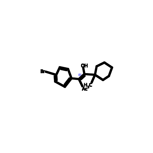 CC(=O)/C(=C(/O)C1(C)CCCCC1)c1ccc(Br)cc1